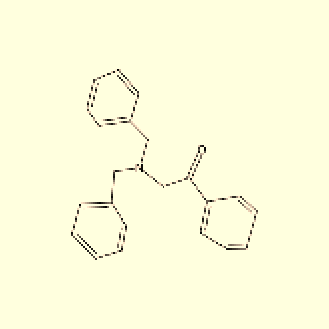 O=C(CN(Cc1ccccc1)Cc1ccccc1)c1ccccc1